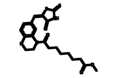 COC(=O)CCCCCCC(=O)N1CCOc2ccc(C=C3SC(=S)NC3=O)cc21